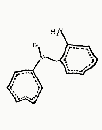 Nc1ccccc1N(Br)c1ccccc1